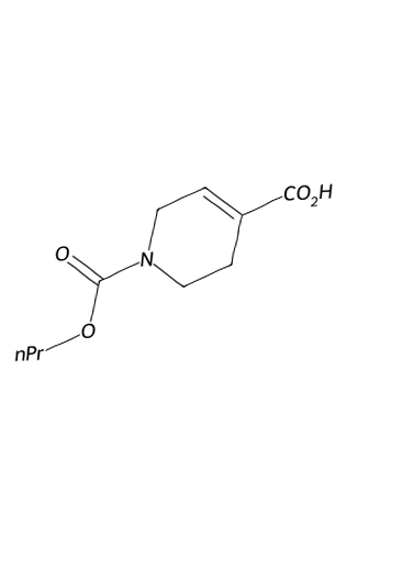 CCCOC(=O)N1CC=C(C(=O)O)CC1